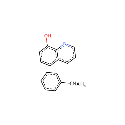 N#Cc1ccccc1.Oc1cccc2cccnc12.[AlH3]